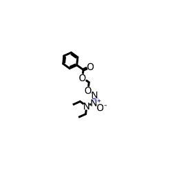 CCN(CC)/[N+]([O-])=N\OCOC(=O)c1ccccc1